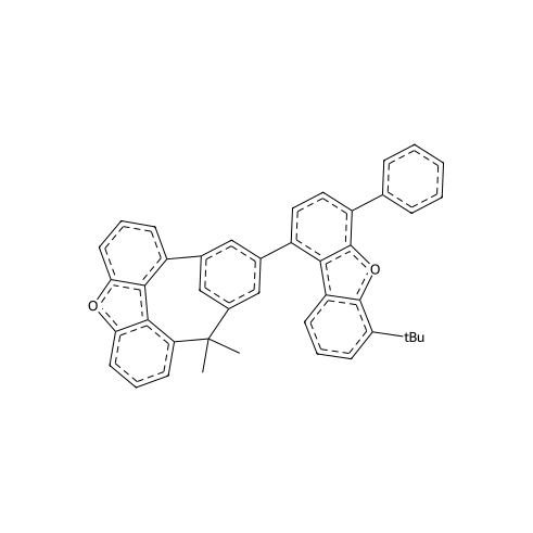 CC(C)(C)c1cccc2c1oc1c(-c3ccccc3)ccc(-c3cc4cc(c3)C(C)(C)c3cccc5oc6cccc-4c6c35)c12